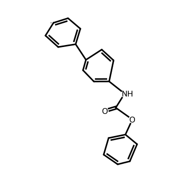 O=C(Nc1ccc(-c2cc[c]cc2)cc1)Oc1ccccc1